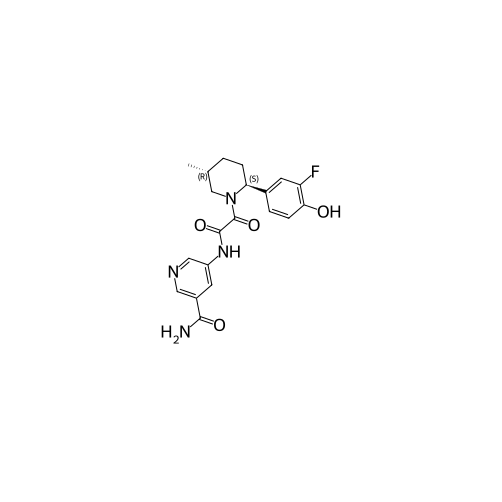 C[C@@H]1CC[C@@H](c2ccc(O)c(F)c2)N(C(=O)C(=O)Nc2cncc(C(N)=O)c2)C1